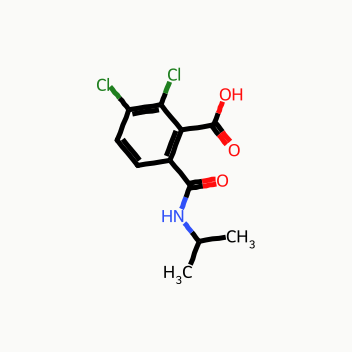 CC(C)NC(=O)c1ccc(Cl)c(Cl)c1C(=O)O